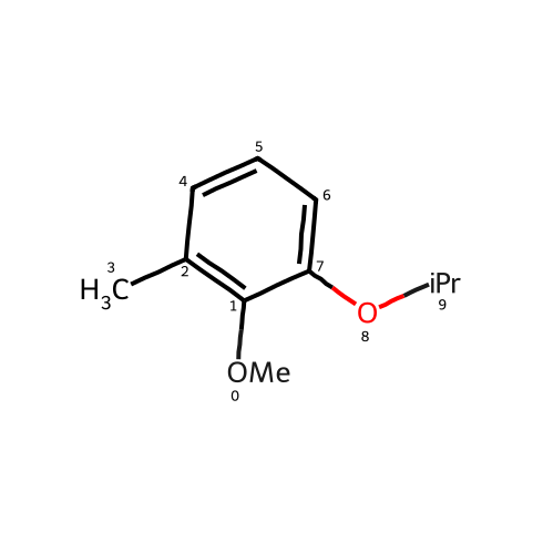 COc1c(C)cccc1OC(C)C